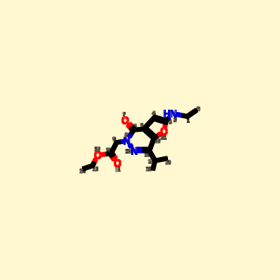 CCNc1cc2c(=O)n(CC(=O)OCC)nc(C(C)C)c2o1